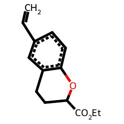 C=Cc1ccc2c(c1)CCC(C(=O)OCC)O2